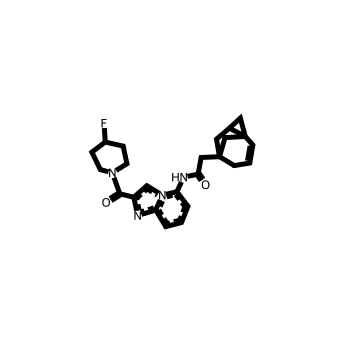 O=C(CC12CC=CC3(CC3C1)C2)Nc1cccc2nc(C(=O)N3CCC(F)CC3)cn12